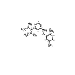 CC(O)N(c1cccc(NCc2cc(N)ccc2N)c1)C(C)O